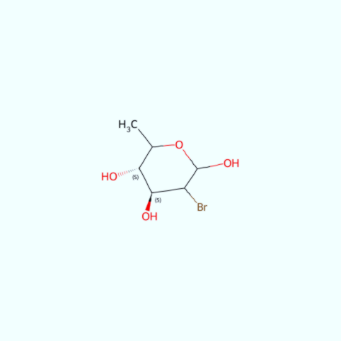 CC1OC(O)C(Br)[C@@H](O)[C@@H]1O